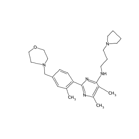 Cc1cc(CN2CCOCC2)ccc1-c1nc(C)c(C)c(NCCCN2CCCC2)n1